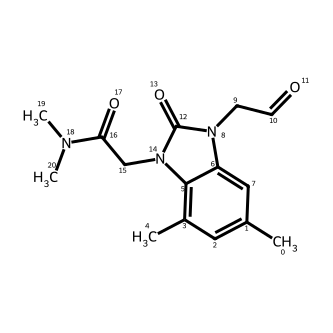 Cc1cc(C)c2c(c1)n(CC=O)c(=O)n2CC(=O)N(C)C